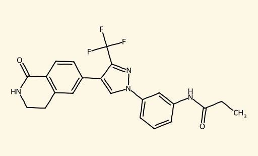 CCC(=O)Nc1cccc(-n2cc(-c3ccc4c(c3)CCNC4=O)c(C(F)(F)F)n2)c1